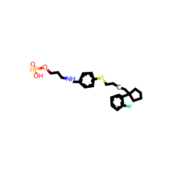 O=[PH](O)OCCCNCc1ccc(SCCCCC2(c3ccccc3F)CCCC2)cc1